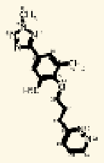 Cc1cc(-c2nnn(C)n2)cc(C)c1OCCCc1cccnn1